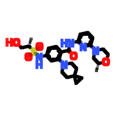 C[C@@H]1CN(c2cccc(NC(=O)c3ccc(NS(=O)(=O)[C@@H](C)CO)cc3N3CCC4(CC3)CC4)n2)CCO1